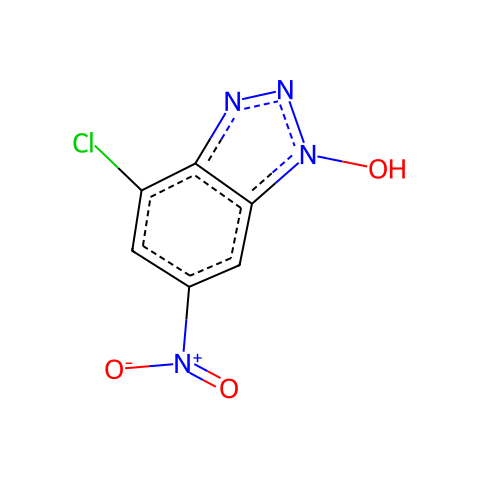 O=[N+]([O-])c1cc(Cl)c2nnn(O)c2c1